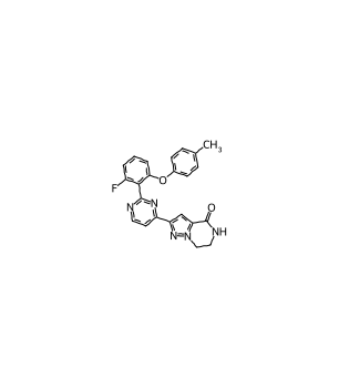 Cc1ccc(Oc2cccc(F)c2-c2nccc(-c3cc4n(n3)CCNC4=O)n2)cc1